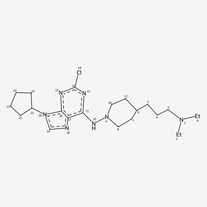 CCN(CC)CCCC1CCN(Nc2nc(Cl)nc3c2ncn3C2CCCC2)CC1